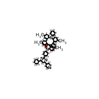 Cc1ccc2c(c1)-c1ccccc1C1(c3ccccc3-c3cc(C)ccc3N2c2ccccc2)c2cc(C)ccc2N(c2ccc(-c3nc(-c4ccccc4)cc(-c4ccncc4)n3)cc2)c2ccc(C)cc21